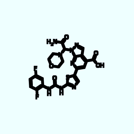 NC(=O)C(N1CCOCC1)n1ncc2c(C(=O)O)cc(-c3cnc(NC(=O)Nc4cc(F)ccc4F)s3)nc21